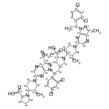 Cc1nn(C(C)c2ccc(Cl)cc2Cl)c2nc(N3CCC(N4CC(CC(c5ccc(Cl)cc5Cl)n5nc(C#N)c6ncc(N7CCC(N8CCCC8C(=O)O)C(C)C7)nc65)CC4C(C)(C)O)C(C)C3)cnc12